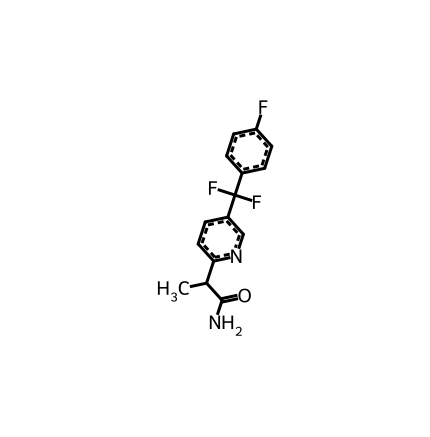 CC(C(N)=O)c1ccc(C(F)(F)c2ccc(F)cc2)cn1